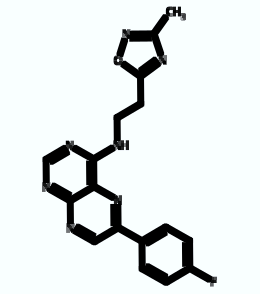 Cc1noc(CCNc2ncnc3ncc(-c4ccc(F)cc4)nc23)n1